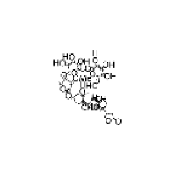 CO[C@H]1C[C@H](O[C@H]2CC[C@]3(C=O)[C@H]4CC[C@]5(C)[C@@H](C6=CC(=O)OC6)CC[C@]5(O)[C@@H]4CC[C@]3(O)C2)O[C@H](C)[C@H]1O[C@@H]1O[C@H](CO[C@@H]2O[C@H](CO)[C@@H](O)[C@H](O)[C@H]2O)[C@@H](O)[C@H](O)[C@H]1O